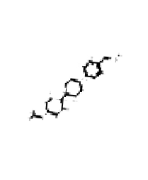 COCc1ccc([C@H]2CC[C@H]([C@H]3CC[C@H](C=CF)CC3)CC2)cc1